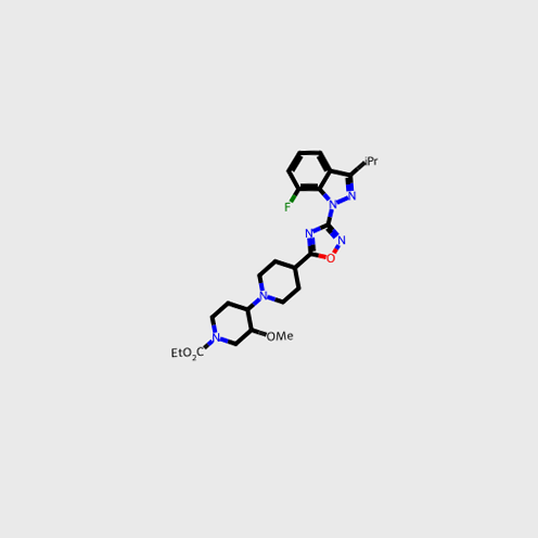 CCOC(=O)N1CCC(N2CCC(c3nc(-n4nc(C(C)C)c5cccc(F)c54)no3)CC2)C(OC)C1